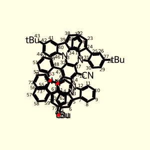 CC(C)(C)c1ccc2c(c1)c1ccccc1n2-c1c(C#N)c(-n2c3ccccc3c3cc(C(C)(C)C)ccc32)c(-n2c3ccccc3c3cc(C(C)(C)C)ccc32)c(-c2ccccc2-n2c3ccccc3c3cnccc32)c1-n1c2ccccc2c2cc(C(C)(C)C)ccc21